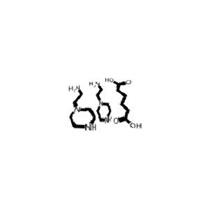 NCCN1CCNCC1.NCCN1CCNCC1.O=C(O)CCCCC(=O)O